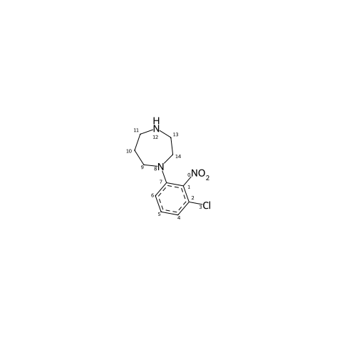 O=[N+]([O-])c1c(Cl)cccc1N1CCCNCC1